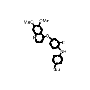 COc1cc2nccc(Oc3ccc(Nc4ccc(C(C)(C)C)cc4)c(Cl)c3)c2cc1OC